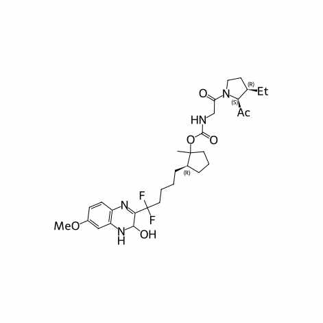 CC[C@@H]1CCN(C(=O)CNC(=O)OC2(C)CCC[C@H]2CCCCC(F)(F)C2=Nc3ccc(OC)cc3NC2O)[C@@H]1C(C)=O